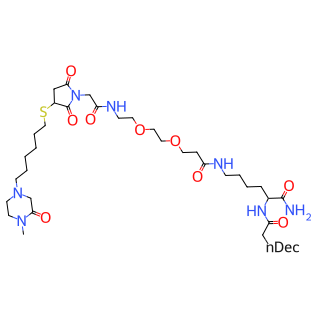 CCCCCCCCCCCC(=O)NC(CCCCNC(=O)CCOCCOCCNC(=O)CN1C(=O)CC(SCCCCCCN2CCN(C)C(=O)C2)C1=O)C(N)=O